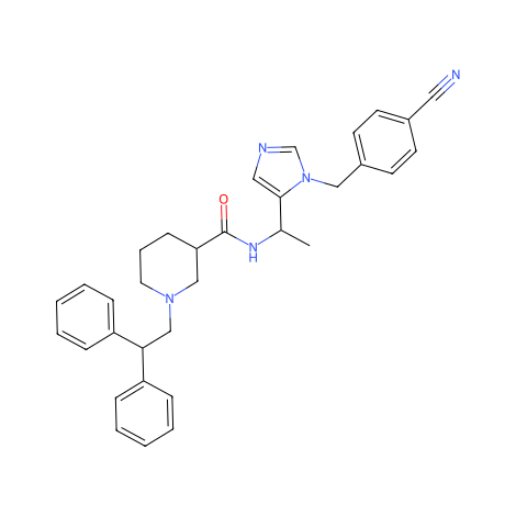 CC(NC(=O)C1CCCN(CC(c2ccccc2)c2ccccc2)C1)c1cncn1Cc1ccc(C#N)cc1